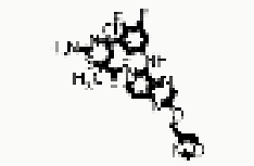 C[C@]1(C(F)F)C[C@@](C)(c2cc(Nc3nccc4nc(OCc5cocn5)cnc34)cc(F)c2F)N=C(N)S1